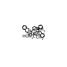 CC(=O)[C@@]1(C(=O)N2[C@@H](C(=O)N3Cc4ccccc4C[C@@H]3C(=O)O)CC[C@H]2c2ccccc2)Cc2ccccc2N1C(C)(C)C